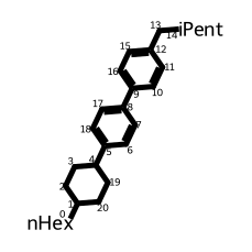 CCCCCCC1CCC(c2ccc(-c3ccc(CC(C)CCC)cc3)cc2)CC1